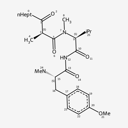 CCCCCCCC(=O)[C@H](C)C(=O)N(C)[C@H](C(=O)NC(=O)[C@H](Cc1ccc(OC)cc1)NC)C(C)C